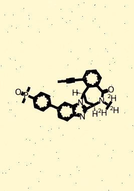 [2H]C([2H])([2H])N1C(=O)c2cccc(C#CC)c2[C@H]2C[C@@H]1c1nc3ccc(-c4ccc(P(C)(C)=O)cc4)cc3n12